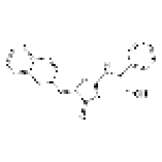 O=C1N=C(N[C@@H](CO)c2ccccc2)S/C1=C\c1ccc2ncccc2c1